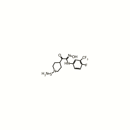 NSN1CCC(C(=O)/C(=N/O)Nc2ccc(F)c(C(F)(F)F)c2)CC1